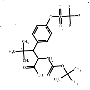 CC(C)(C)OC(=O)NC(C(=O)O)C(c1ccc(OS(=O)(=O)C(F)(F)F)cc1)C(C)(C)C